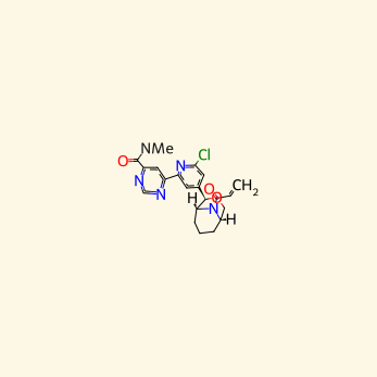 C=CC(=O)N1[C@H]2CCC[C@@H]1[C@@H](c1cc(Cl)nc(-c3cc(C(=O)NC)ncn3)c1)OC2